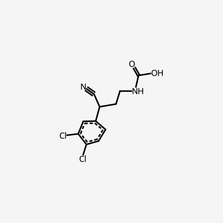 N#CC(CCNC(=O)O)c1ccc(Cl)c(Cl)c1